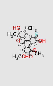 CCc1cc2c(c(C)c1O)OCC(c1cc(OC)c(O)c(OC)c1)=C2c1ccc(O)c(F)c1